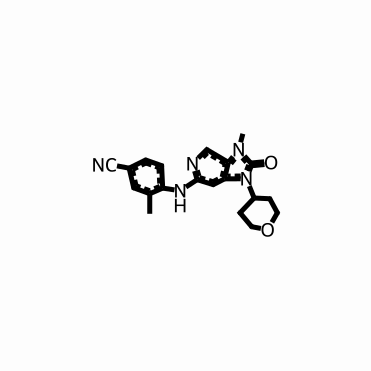 Cc1cc(C#N)ccc1Nc1cc2c(cn1)n(C)c(=O)n2C1CCOCC1